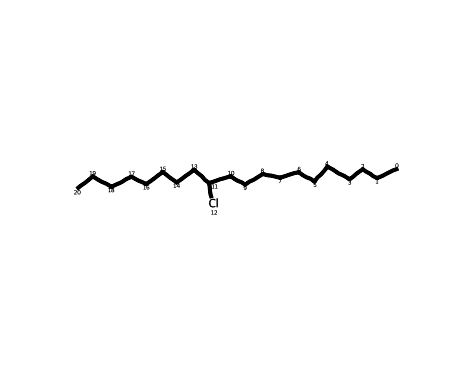 CCCCCCCCCCCC(Cl)CCCCCCCC